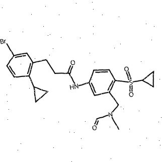 CN(C=O)Cc1cc(NC(=O)CCc2cc(Br)ccc2C2CC2)ccc1S(=O)(=O)C1CC1